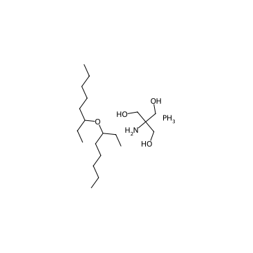 CCCCCC(CC)OC(CC)CCCCC.NC(CO)(CO)CO.P